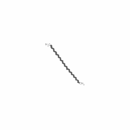 C/C=C/CCCCCCCCCCCCCCCCCCCCCCCCC